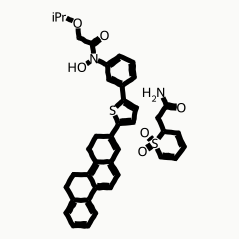 CC(C)OCC(=O)N(O)c1cccc(-c2ccc(C3=Cc4ccc5c(c4CC3)CCc3ccccc3-5)s2)c1.NC(=O)CC1C=CC=CS1(=O)=O